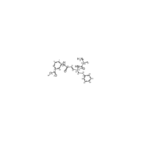 COC(=O)c1cccc(NC(=O)C=C[C@H](CCc2ccccc2)NC(=O)[C@H](C)N)c1